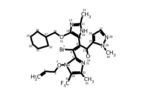 C=CCOn1c(C(Br)=C(c2[nH]c(C)nc2OCC2CCCCC2)C([O])c2ccnn2C)nc(C)c1C(F)(F)F